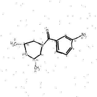 C[C@@H]1CN(C(=O)c2cccc([N+](=O)[O-])c2)C[C@H](C)O1